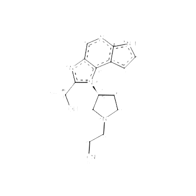 C[C@@H](O)c1nc2cnc3[nH]ccc3c2n1[C@H]1CCN(CCC#N)C1